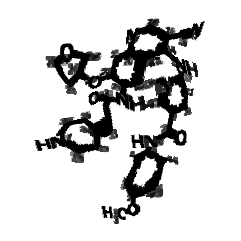 COc1ccc(NC(=O)c2ccc(Nc3c(C#N)cnc4cc(OC5CCOC5)c(NC(=O)C=C5CCNCC5)cc34)nc2)cc1